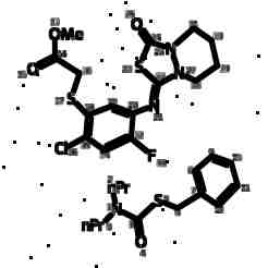 CCCN(CCC)C(=O)SCc1ccccc1.COC(=O)CSc1cc(/N=c2\sc(=O)n3n2CCCC3)c(F)cc1Cl